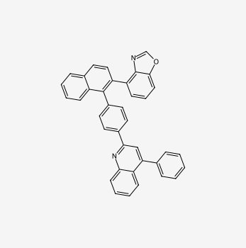 c1ccc(-c2cc(-c3ccc(-c4c(-c5cccc6ocnc56)ccc5ccccc45)cc3)nc3ccccc23)cc1